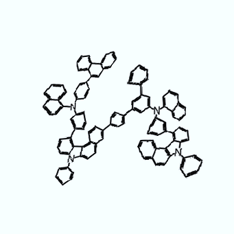 c1ccc(-c2cc(-c3ccc(-c4ccc5c(ccc6c5c5c(-c7cccc(N(c8ccc(-c9cc%10ccccc%10c%10ccccc9%10)cc8)c8cccc9ccccc89)c7)cccc5n6-c5ccccc5)c4)cc3)cc(N(c3cccc(-c4cccc5c4c4c6ccccc6ccc4n5-c4ccccc4)c3)c3cccc4ccccc34)c2)cc1